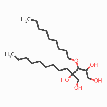 CCCCCCCCCOC(C(O)CO)C(O)(CO)CCCCCCCCC